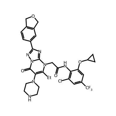 CCc1c(N2CCNCC2)c(=O)n2nc(-c3ccc4c(c3)COC4)nc2n1CC(=O)Nc1c(Cl)cc(C(F)(F)F)cc1OC1CC1